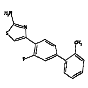 Cc1ccccc1-c1ccc(-c2csc(N)n2)c(F)c1